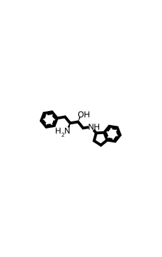 N[C@@H](Cc1ccccc1)[C@H](O)CNC1CCc2ccccc21